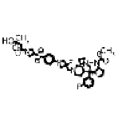 COC(=O)N[C@H]1CCC[C@@H]1[C@](CN1CCC1)(c1cccc(F)c1)C1CCN(CC2(F)CN(c3ccc(S(=O)(=O)C4CN(C(=O)CC(C)(C)O)C4)cc3)C2)CC1